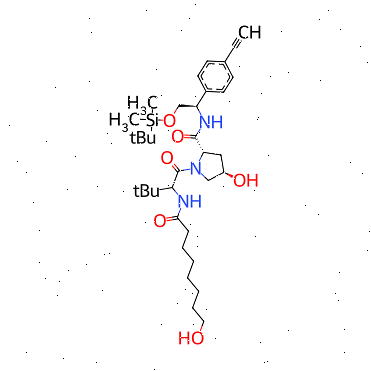 C#Cc1ccc([C@H](CO[Si](C)(C)C(C)(C)C)NC(=O)[C@@H]2C[C@@H](O)CN2C(=O)C(NC(=O)CCCCCCCO)C(C)(C)C)cc1